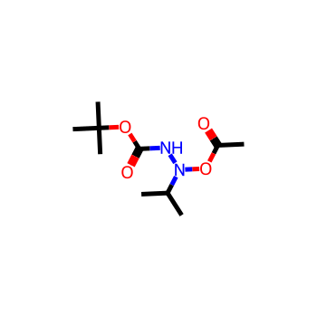 CC(=O)ON(NC(=O)OC(C)(C)C)C(C)C